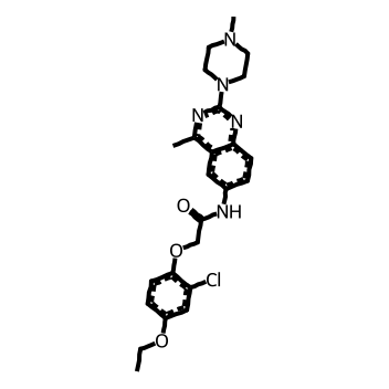 CCOc1ccc(OCC(=O)Nc2ccc3nc(N4CCN(C)CC4)nc(C)c3c2)c(Cl)c1